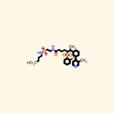 Cc1cnccc1-c1cccc([C@H](C)C(CCCC(=O)NCCS(=O)(=O)NCCCC(=O)O)S(=O)(=O)c2ccccc2C(F)(F)F)c1